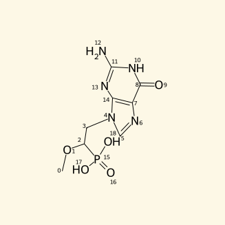 COC(Cn1cnc2c(=O)[nH]c(N)nc21)P(=O)(O)O